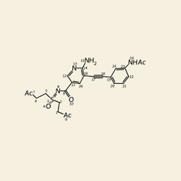 CC(=O)CCS(=O)(CCC(C)=O)=NC(=O)c1cnc(N)c(C#Cc2cccc(NC(C)=O)c2)c1